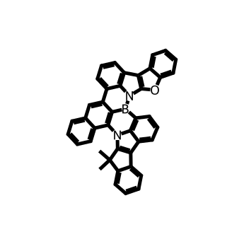 CC1(C)c2ccccc2-c2c1n1c3c(cccc23)B2c3c(cc4ccccc4c3-1)-c1cccc3c4c5ccccc5oc4n2c13